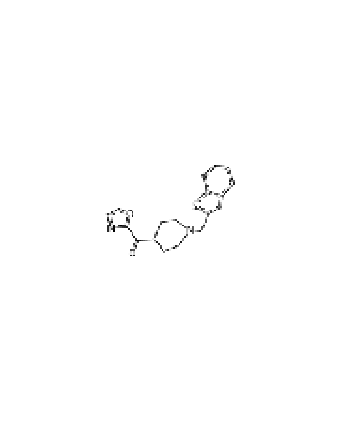 O=C(c1ncco1)C1CCN(Cc2cc3ccccc3s2)CC1